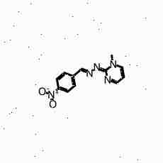 Cn1cccn/c1=N\N=Cc1ccc([N+](=O)[O-])cc1